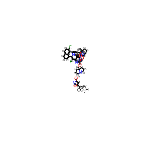 CC(C)C(C(=O)O)c1cc(OC[C@@H]2CC[C@]3(COc4nc(N5CC6CCC(C5)N6C(=O)OC(C)(C)C)c5cnc(-c6cccc7ccc(F)c(C#C[Si](C(C)C)(C(C)C)C(C)C)c67)c(F)c5n4)CCCN23)no1